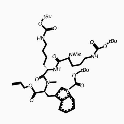 C=CCOC(=O)[C@H](Cc1cn(C(=O)OC(C)(C)C)c2ccccc12)N(C)C(=O)[C@H](CCCCNC(=O)OC(C)(C)C)NC(=O)[C@H](CCCNC(=O)OC(C)(C)C)NC